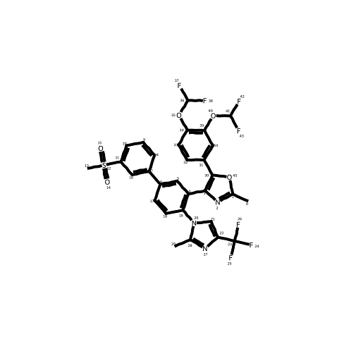 Cc1nc(-c2cc(-c3cccc(S(C)(=O)=O)c3)ccc2-n2cc(C(F)(F)F)nc2C)c(-c2ccc(OC(F)F)c(OC(F)F)c2)o1